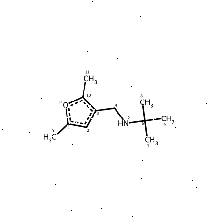 Cc1cc(CNC(C)(C)C)c(C)o1